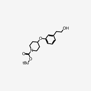 CC(C)(C)OC(=O)N1CCC(Oc2cccc(CCO)c2)CC1